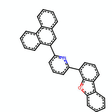 c1cc(-c2cc3ccccc3c3ccccc23)nc(-c2cccc3c2oc2ccccc23)c1